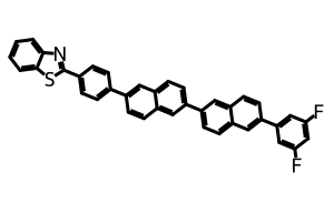 Fc1cc(F)cc(-c2ccc3cc(-c4ccc5cc(-c6ccc(-c7nc8ccccc8s7)cc6)ccc5c4)ccc3c2)c1